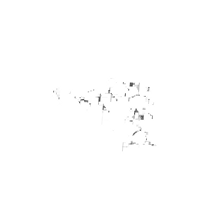 CN(C)CCNc1ccc(C(=O)Nc2n[nH]c3c2CN(S(=O)(=O)c2cc(F)cc(F)c2)CC3(C)C)c(N)c1